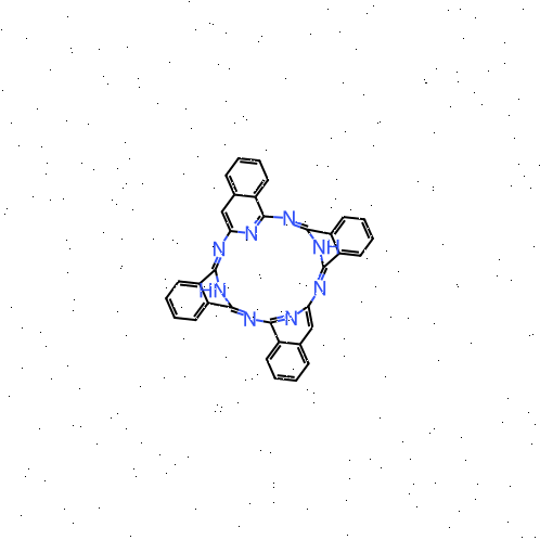 c1ccc2c(c1)cc1nc2nc2[nH]c(nc3cc4ccccc4c(n3)nc3[nH]c(n1)c1ccccc31)c1ccccc21